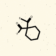 O=C(F)C1(C(=O)F)CCCCC1